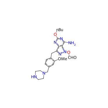 CCCCOc1nc(N)c2c(n1)c(Cc1ccc(CN3CCNCC3)cc1OC)nn2OC=O